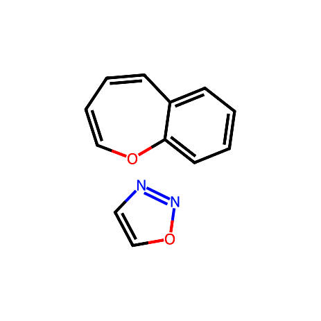 C1=COc2ccccc2C=C1.c1conn1